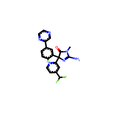 CN1C(=O)C(c2cc(C(F)F)ccn2)(c2cc(-c3cnccn3)ccc2F)N=C1N